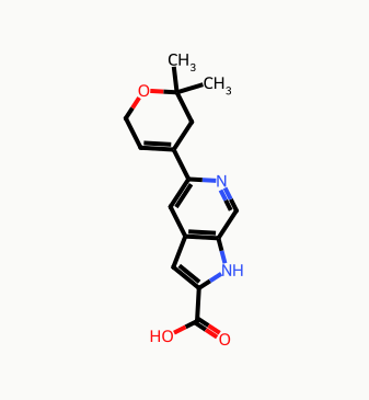 CC1(C)CC(c2cc3cc(C(=O)O)[nH]c3cn2)=CCO1